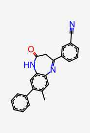 Cc1cc2c(cc1-c1ccccc1)NC(=O)CC(c1cccc(C#N)c1)=N2